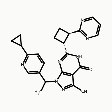 CC(c1ccc(C2CC2)nc1)n1nc(C#N)c2c(=O)[nH]c([C@@H]3CC[C@H]3c3ncccn3)nc21